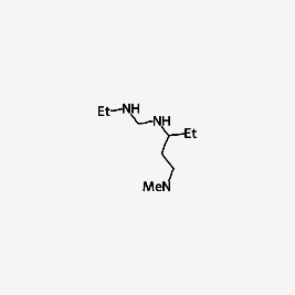 CCNCNC(CC)CCNC